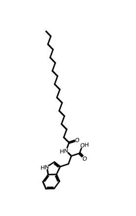 CCCCCCCCCCCCCCCCCC(=O)NC(Cc1c[nH]c2ccccc12)C(=O)O